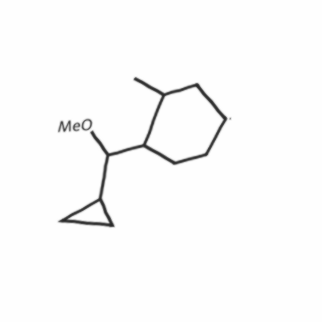 COC(C1CC1)C1CC[CH]CC1C